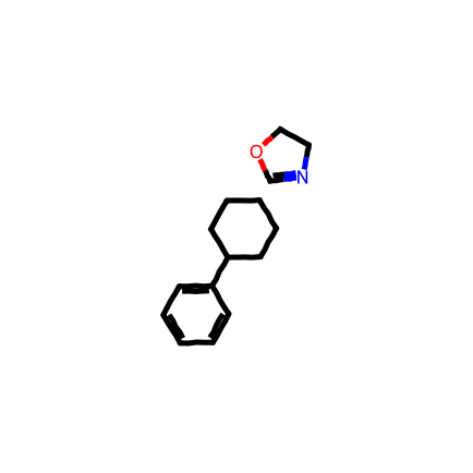 C1=NCCO1.c1ccc(C2CCCCC2)cc1